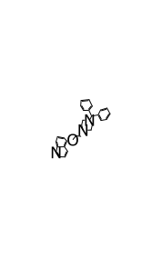 c1ccc(C(c2ccccc2)N2CCN(CCOc3cccc4ncccc34)CC2)cc1